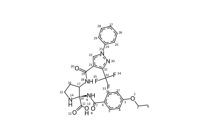 CCOc1ccc(C(=O)N[C@@]2(C(=O)O)NCCC2NC(=O)c2cn(-c3ccccc3)nc2C(F)(F)F)cc1